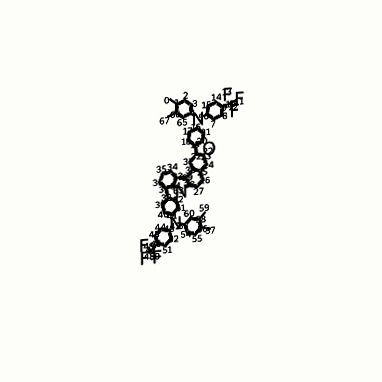 Cc1ccc(N(c2ccc(C(F)(F)F)cc2)c2ccc3c(c2)oc2cc4ccc5c(c4cc23)c2cccc3c4ccc(N(c6ccc(C(F)(F)F)cc6)c6ccc(C)c(C)c6)cc4n5c32)cc1C